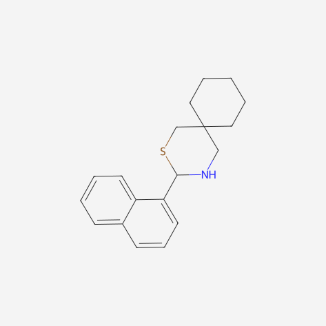 c1ccc2c(C3NCC4(CCCCC4)CS3)cccc2c1